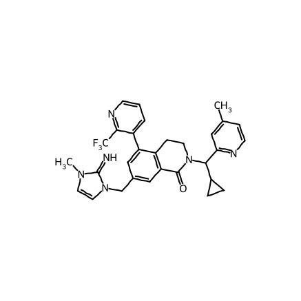 Cc1ccnc(C(C2CC2)N2CCc3c(cc(Cn4ccn(C)c4=N)cc3-c3cccnc3C(F)(F)F)C2=O)c1